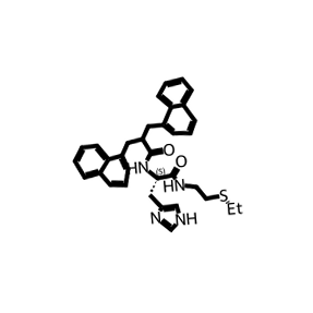 CCSCCNC(=O)[C@H](Cc1c[nH]cn1)NC(=O)C(Cc1cccc2ccccc12)Cc1cccc2ccccc12